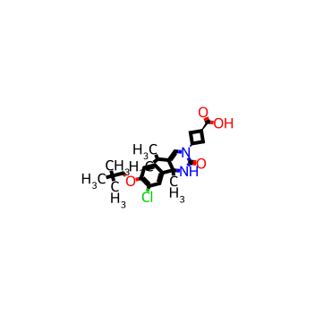 CC(C)C1=CN([C@H]2C[C@H](C(=O)O)C2)C(=O)NC1(C)c1ccc(OCC(C)(C)C)c(Cl)c1